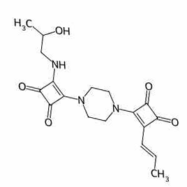 C/C=C/c1c(N2CCN(c3c(NCC(C)O)c(=O)c3=O)CC2)c(=O)c1=O